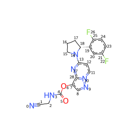 N#CCNC(=O)Oc1cnn2ccc(N3CCC[C@@H]3c3cc(F)ccc3F)nc12